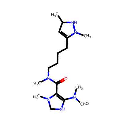 CC1C=C(CCCCN(C)C(=O)C2=C(N(C)C=O)NCN2C)N(C)N1